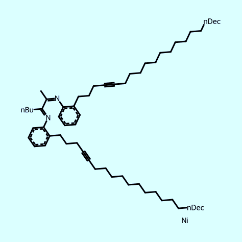 CCCCCCCCCCCCCCCCCCCCCC#CCCCc1ccccc1N=C(C)C(CCCC)=Nc1ccccc1CCCC#CCCCCCCCCCCCCCCCCCCCCC.[Ni]